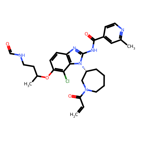 C=CC(=O)N1CCCC[C@@H](n2c(NC(=O)c3ccnc(C)c3)nc3ccc(OC(C)CCNC=O)c(Cl)c32)C1